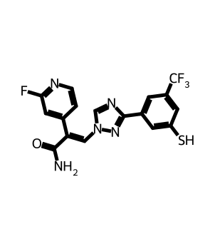 NC(=O)/C(=C/n1cnc(-c2cc(S)cc(C(F)(F)F)c2)n1)c1ccnc(F)c1